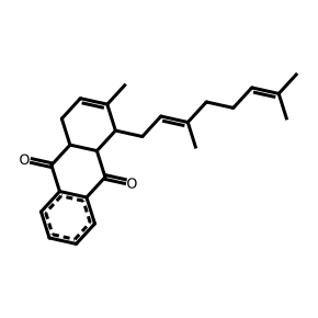 CC(C)=CCC/C(C)=C/CC1C(C)=CCC2C(=O)c3ccccc3C(=O)C21